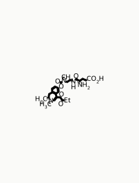 CCC(=O)C1Oc2c(OC(=O)N(C)CCNC(=O)[C@@H](N)CCC(=O)O)ccc3c2C1=CN(C)[C@@H](C)C3